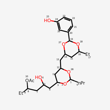 CCCC1OC(CC(O)CC(CC)OC(C)=O)CC(CC2CC(CC)OC(c3cccc(O)c3)O2)O1